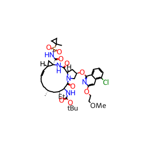 CC[C@@H]1C[C@H](C)CC/C=C\[C@@H]2C[C@@]2(C(=O)NS(=O)(=O)C2(C)CC2)NC(=O)[C@@H]2C[C@@H](Oc3nc(OCCOC)cc4c(Cl)cccc34)CN2C(=O)[C@H]1NC(=O)OC(C)(C)C